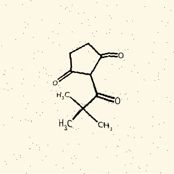 CC(C)(C)C(=O)C1C(=O)CCC1=O